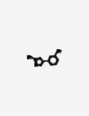 CC(C)c1cccc(-c2cnn(C(C)C)c2)c1